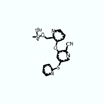 CC(C)(C)[Si](C)(C)OCc1ncccc1Oc1cc(Sc2ccccn2)cnc1C#N